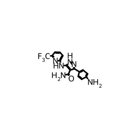 NC(=O)c1c(-c2ccc(N)cc2)n[nH]c1Nc1cccc(C(F)(F)F)n1